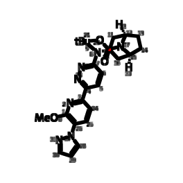 COc1nc(-c2ccc(N(C)[C@@H]3C[C@H]4CC[C@@H](C3)N4C(=O)OC(C)(C)C)nn2)ccc1-n1cccn1